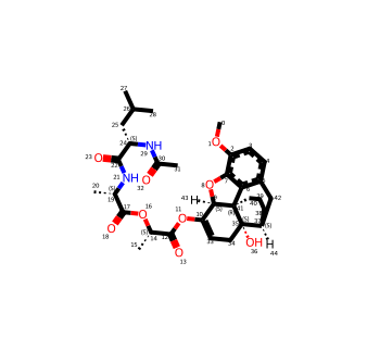 COc1ccc2c3c1O[C@@H]1C(OC(=O)[C@H](C)OC(=O)[C@H](C)NC(=O)[C@H](CC(C)C)NC(C)=O)=CC[C@]4(O)[C@@H](CCC[C@@]314)C2